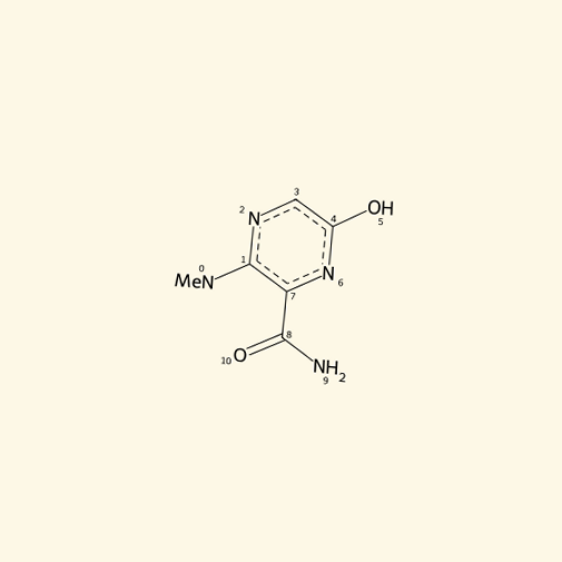 CNc1ncc(O)nc1C(N)=O